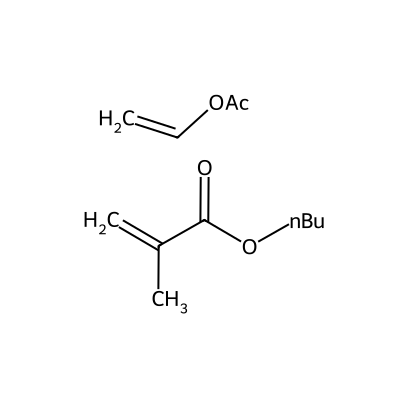 C=C(C)C(=O)OCCCC.C=COC(C)=O